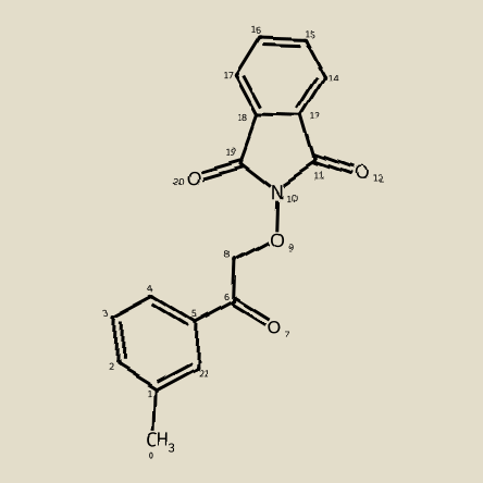 Cc1cccc(C(=O)CON2C(=O)c3ccccc3C2=O)c1